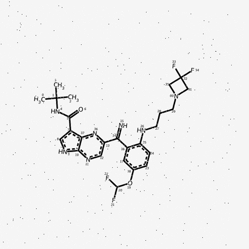 CC(C)(C)NC(=O)c1c[nH]c2ncc(C(=N)c3cc(OC(F)F)ccc3NCCCN3CC(F)(F)C3)nc12